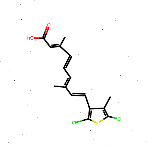 CC(C=Cc1c(Cl)sc(Cl)c1C)=CC=CC(C)=CC(=O)O